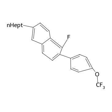 CCCCCCCc1ccc2c(F)c(-c3ccc(OC(F)(F)F)cc3)ccc2c1